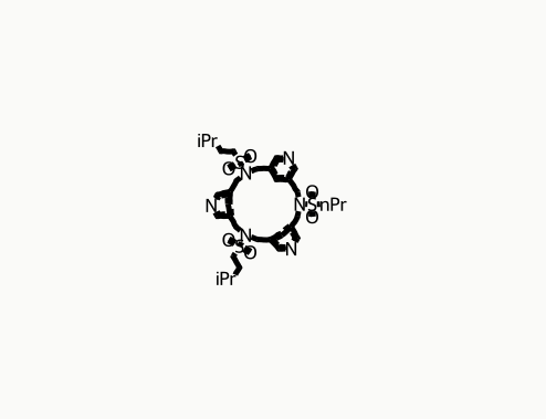 CCCS(=O)(=O)N1Cc2cncc(c2)CN(S(=O)(=O)CCC(C)C)Cc2cncc(c2)CN(S(=O)(=O)CCC(C)C)Cc2cncc(c2)C1